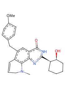 COc1ccc(Cc2cc3c(=O)[nH]c([C@@H]4CCCC[C@@H]4O)nc3c3c2C=CCN3C)cc1